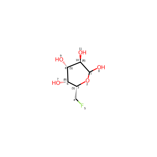 OC1O[C@H](CF)[C@H](O)[C@H](O)[C@H]1O